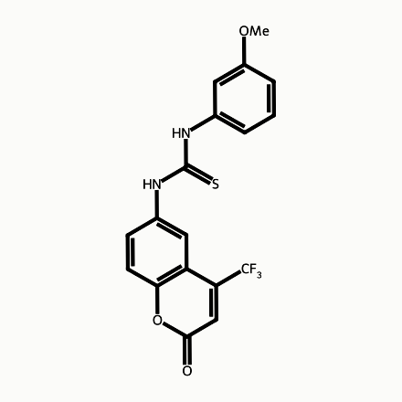 COc1cccc(NC(=S)Nc2ccc3oc(=O)cc(C(F)(F)F)c3c2)c1